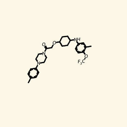 Cc1ccc(N2CCN(C(=O)COC3CCC(Nc4ccc(OC(F)(F)F)c(C)c4)CC3)CC2)cc1